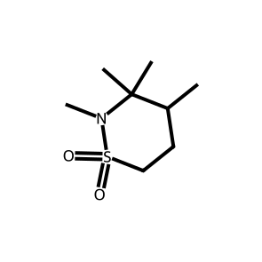 CC1CCS(=O)(=O)N(C)C1(C)C